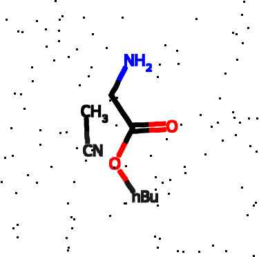 CC#N.CCCCOC(=O)CN